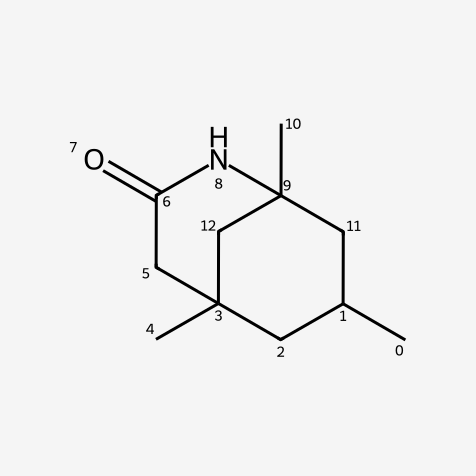 CC1CC2(C)CC(=O)NC(C)(C1)C2